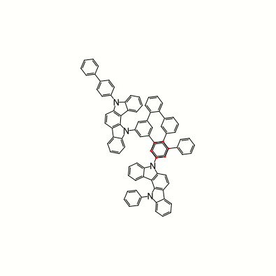 c1ccc(-c2ccc(-n3c4ccccc4c4c3ccc3c5ccccc5n(-c5cc(-c6cccc(-c7ccccc7)c6)cc(-c6ccccc6-c6cccc(-c7ccc(-n8c9ccccc9c9c8ccc8c%10ccccc%10n(-c%10ccccc%10)c89)cc7)c6)c5)c34)cc2)cc1